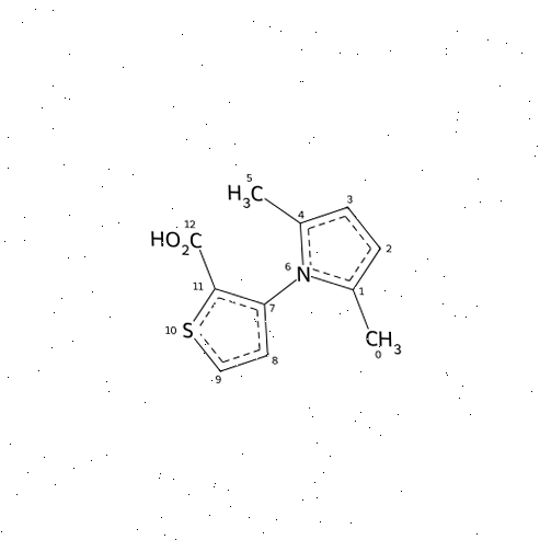 Cc1ccc(C)n1-c1ccsc1C(=O)O